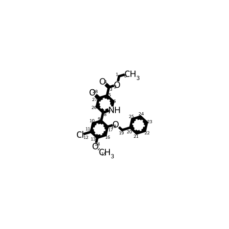 CCOC(=O)c1c[nH]c(-c2cc(Cl)c(OC)cc2OCc2ccccc2)cc1=O